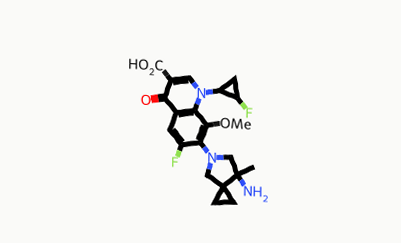 COc1c(N2CC(C)(N)C3(CC3)C2)c(F)cc2c(=O)c(C(=O)O)cn(C3CC3F)c12